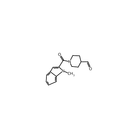 Cn1c(C(=O)N2CCC(C=O)CC2)cc2ccccc21